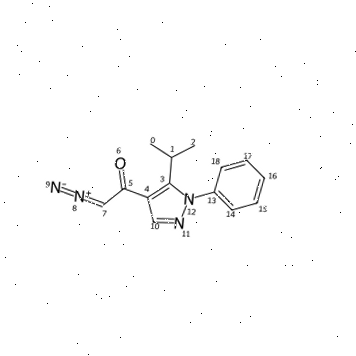 CC(C)c1c(C(=O)C=[N+]=[N-])cnn1-c1ccccc1